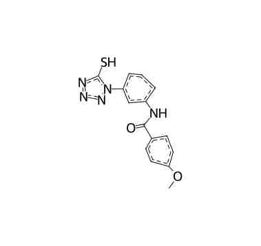 COc1ccc(C(=O)Nc2cccc(-n3nnnc3S)c2)cc1